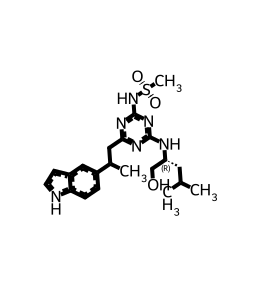 CC(C)C[C@H](CO)Nc1nc(CC(C)c2ccc3[nH]ccc3c2)nc(NS(C)(=O)=O)n1